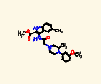 COC(=O)c1[nH]c2ccc(C)cc2c1NC(=O)CN1CCN(c2cccc(OC)c2)C(C)C1